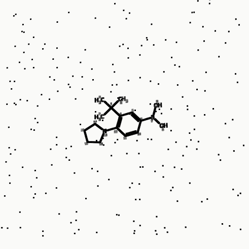 CC(C)(C)c1cc(B(O)O)ccc1N1CCCC1